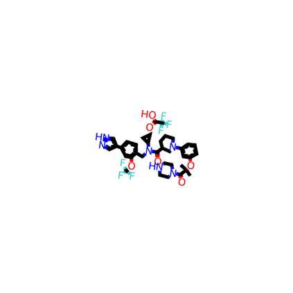 CC(C)(Oc1cccc(N2CCCC(C(=O)N(Cc3ccc(-c4cn[nH]c4)cc3OC(F)(F)F)C3CC3)C2)c1)C(=O)N1CCNCC1.O=C(O)C(F)(F)F